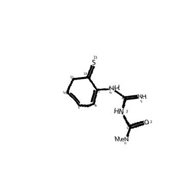 CNC(=O)NC(=N)NC1=CC=CCC1=S